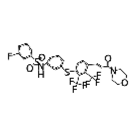 O=C(/C=C/c1ccc(Sc2cccc(NS(=O)(=O)c3cccc(F)c3)c2)c(C(F)(F)F)c1C(F)(F)F)N1CCOCC1